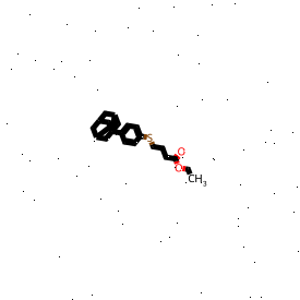 CCOC(=O)CCCSc1ccc(C23CC4CC(CC(C4)C2)C3)cc1